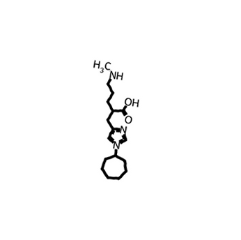 CNCCCC(Cc1cn(C2CCCCCC2)cn1)C(=O)O